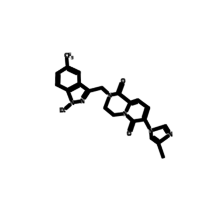 CCn1nc(CN2CCn3c(ccc(-n4cnc(C)c4)c3=O)C2=O)c2cc(C(F)(F)F)ccc21